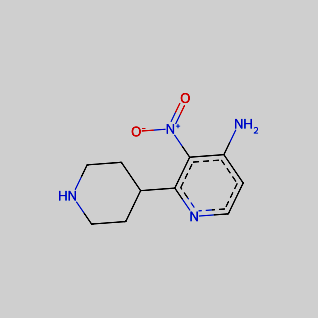 Nc1ccnc(C2CCNCC2)c1[N+](=O)[O-]